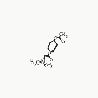 CC(=O)OC1CCN(C(=O)CN(C)C)CC1